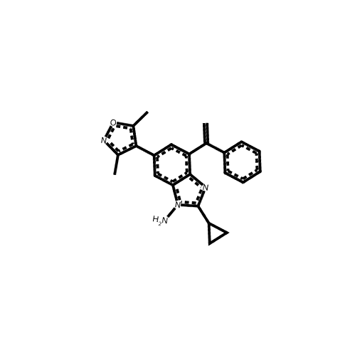 C=C(c1ccccc1)c1cc(-c2c(C)noc2C)cc2c1nc(C1CC1)n2N